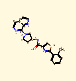 Cc1ccccc1-c1nc(C(=O)N[C@H]2CCN(c3nccn4ccnc34)C2)cs1